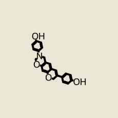 Oc1ccc(C2=Cc3cc4c(cc3OC2)OCN(c2ccc(O)cc2)C4)cc1